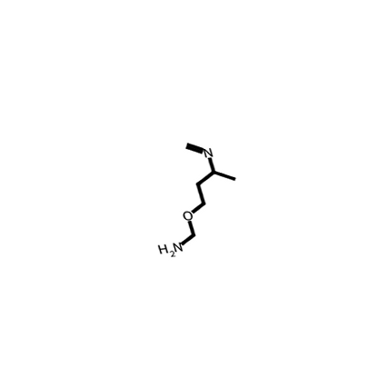 C=NC(C)CCOCN